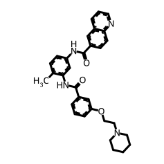 Cc1ccc(NC(=O)c2ccc3ncccc3c2)cc1NC(=O)c1cccc(OCCN2CCCCC2)c1